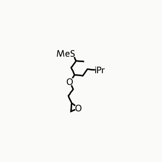 CSC(C)CC(CCC(C)C)OCCC1CO1